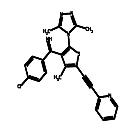 Cc1c(C#Cc2ccccn2)sc(-n2c(C)nnc2C)c1C(=N)c1ccc(Cl)cc1